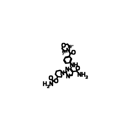 C[C@@H]1COC[C@H](C)N1C(=O)c1cccc(Nc2nc(N3CCCC(OC(N)=O)C3)ncc2C(N)=O)c1